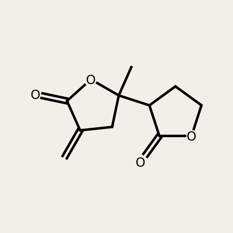 C=C1CC(C)(C2CCOC2=O)OC1=O